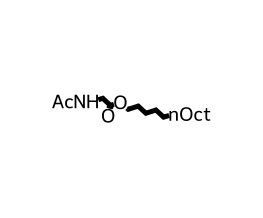 CCCCCCCCCCCCCOC(=O)CNC(C)=O